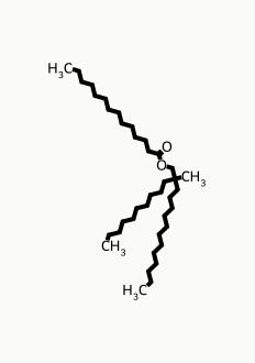 CCCCCCCCCCCCCC(=O)OCC(C)(CCCCCCCCCC)CCCCCCCCCCCC